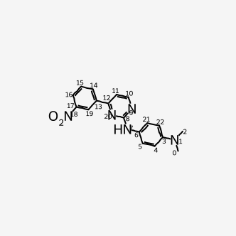 CN(C)c1ccc(Nc2nccc(-c3cccc([N+](=O)[O-])c3)n2)cc1